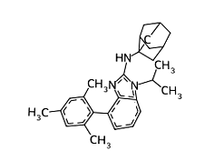 Cc1cc(C)c(-c2cccc3c2nc(NC24CC5CC(CC2C5)C4)n3C(C)C)c(C)c1